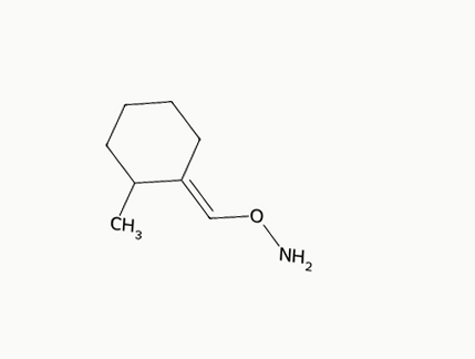 CC1CCCCC1=CON